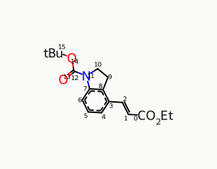 CCOC(=O)/C=C/c1cccc2c1CCN2C(=O)OC(C)(C)C